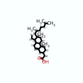 CC(C)CCC[C@@H](C)[C@H]1CCC2C3CC=C4CC(CC(=O)O)CC[C@]4(C)C3CC[C@@]21C